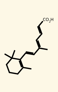 CC(C=CC1=C(C)CCCC1(C)C)=CC=CC(=O)O